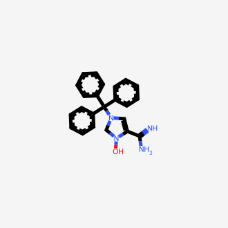 N=C(N)C1=CN(C(c2ccccc2)(c2ccccc2)c2ccccc2)CN1O